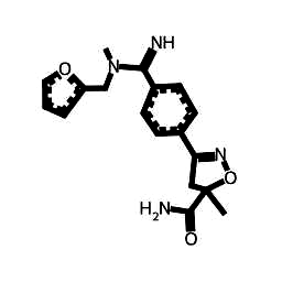 CN(Cc1ccco1)C(=N)c1ccc(C2=NOC(C)(C(N)=O)C2)cc1